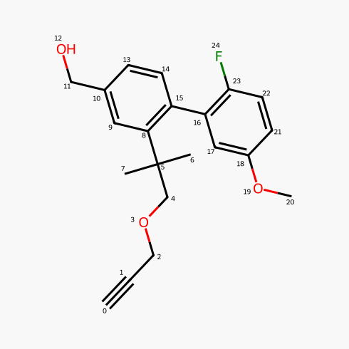 C#CCOCC(C)(C)c1cc(CO)ccc1-c1cc(OC)ccc1F